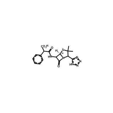 CC1(C)S[C@@H]2C(NC(=O)C(C(=O)O)c3ccccc3)C(=O)N2C1c1nnn[nH]1